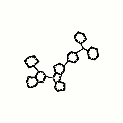 c1ccc(-c2nc(-n3c4ccccc4c4cc(-c5ccc(C(c6ccccc6)c6ccccc6)cc5)ccc43)nc3ccccc23)cc1